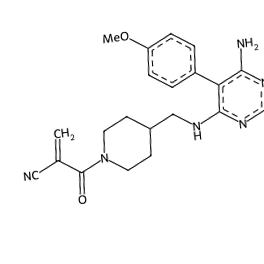 C=C(C#N)C(=O)N1CCC(CNc2ncnc(N)c2-c2ccc(OC)cc2)CC1